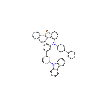 c1ccc(-c2ccc(N(c3cccc(-c4cccc(-n5c6ccccc6c6ccccc65)c4)c3)c3cccc4sc5c6ccccc6ccc5c34)cc2)cc1